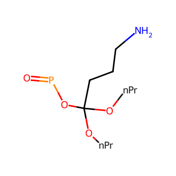 CCCOC(CCCN)(OCCC)OP=O